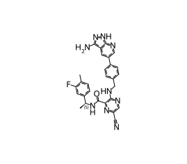 Cc1ccc([C@H](C)NC(=O)c2nc(C#N)cnc2NCc2ccc(-c3cnc4[nH]nc(N)c4c3)cc2)cc1F